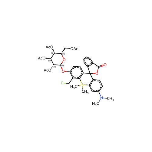 CC(=O)OC[C@H]1O[C@@H](Oc2ccc3c(c2CF)S(C)(C)c2cc(N(C)C)ccc2C32OC(=O)c3ccccc32)[C@H](OC(C)=O)[C@@H](OC(C)=O)[C@H]1OC(C)=O